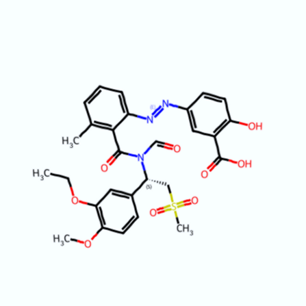 CCOc1cc([C@@H](CS(C)(=O)=O)N(C=O)C(=O)c2c(C)cccc2/N=N/c2ccc(O)c(C(=O)O)c2)ccc1OC